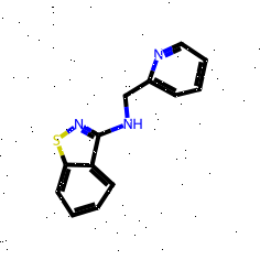 c1ccc(CNc2nsc3ccccc23)nc1